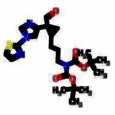 CC(C)(C)OC(=O)N(CCCC1CC1(C=O)c1cn(-c2nccs2)cn1)C(=O)OC(C)(C)C